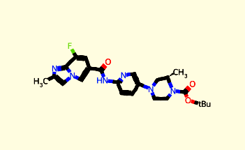 Cc1cn2cc(C(=O)Nc3ccc(N4CCN(C(=O)OC(C)(C)C)[C@@H](C)C4)cn3)cc(F)c2n1